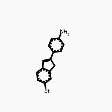 CCc1ccc2c(c1)CC(c1ccc(N)cc1)=C2